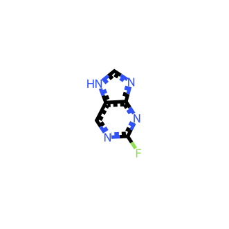 Fc1ncc2[nH]cnc2n1